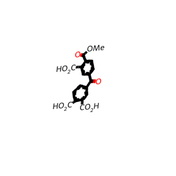 COC(=O)c1ccc(C(=O)c2ccc(C(=O)O)c(C(=O)O)c2)cc1C(=O)O